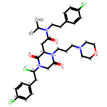 CCC(C=O)N(CCc1ccc(Cl)cc1)C(=O)CC1C(=O)N(C(Cl)Cc2ccc(Cl)cc2)CC(=O)N1CCCN1CCOCC1